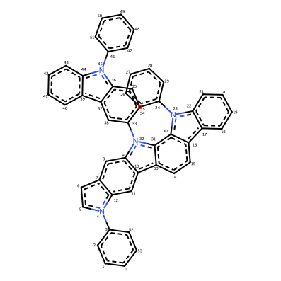 c1ccc(-n2ccc3cc4c(cc32)c2ccc3c5ccccc5n(-c5ccccc5)c3c2n4-c2ccc3c(c2)c2ccccc2n3-c2ccccc2)cc1